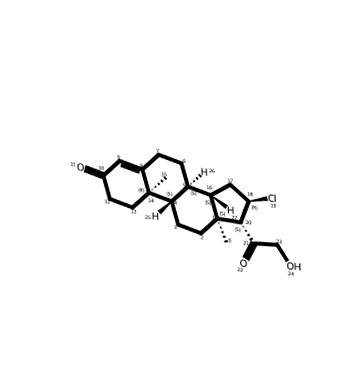 C[C@]12CC[C@H]3[C@@H](CCC4=CC(=O)CC[C@@]43C)[C@@H]1C[C@@H](Cl)[C@@H]2C(=O)CO